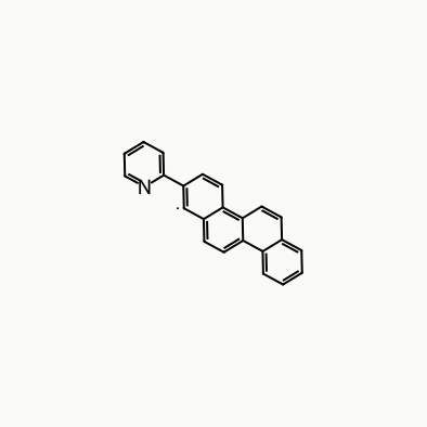 [c]1c(-c2ccccn2)ccc2c1ccc1c3ccccc3ccc21